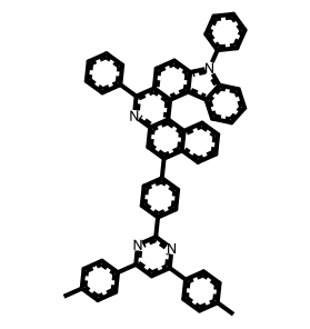 Cc1ccc(-c2cc(-c3ccc(C)cc3)nc(-c3ccc(-c4cc5nc(-c6ccccc6)c6ccc7c(c8ccccc8n7-c7ccccc7)c6c5c5ccccc45)cc3)n2)cc1